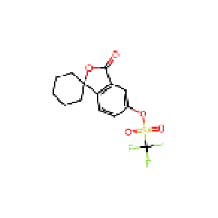 O=C1OC2(CCCCC2)c2ccc(OS(=O)(=O)C(F)(F)F)cc21